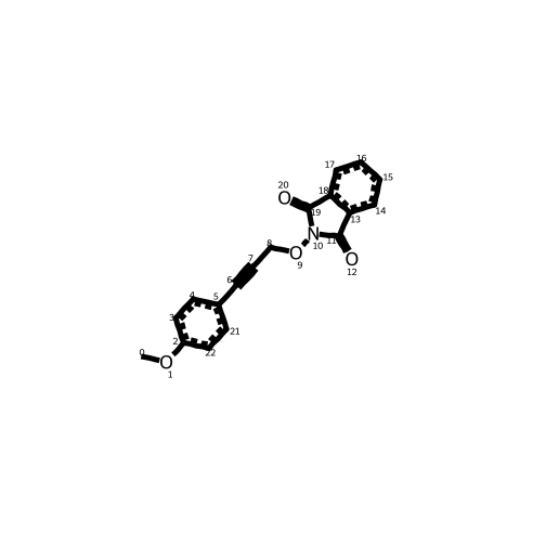 COc1ccc(C#CCON2C(=O)c3ccccc3C2=O)cc1